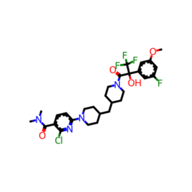 COc1cc(F)cc(C(O)(C(=O)N2CCC(CC3CCN(c4ccc(C(=O)N(C)C)c(Cl)n4)CC3)CC2)C(F)(F)F)c1